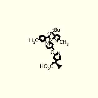 Cc1ccc(C(=O)Nc2nc(C)ccc2CC(C)(C)C)c(N2CCC(COc3cc(C(CC(=O)O)C4CC4)ccn3)CC2)c1